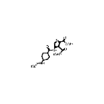 COC(=O)c1scc(NC(=O)C2CCC(NSC(C)(C)C)CC2)c1C(=O)OC